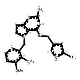 COc1ccnc(Cn2ccc3nc(N)nc(NCc4cc(C)on4)c32)c1OC